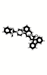 Cn1c(N2CCN(CCCCC3(C(=O)NCc4ccccc4)c4ccccc4-c4ccccc43)CC2)nc2ccccc21